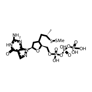 CSS[C@@H](C)CC1C[C@H](n2ncc3c(=O)[nH]c(N)nc32)O[C@@H]1COP(=O)(O)OP(=O)(O)OP(=O)(O)O